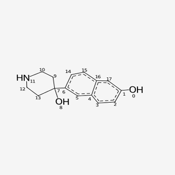 Oc1ccc2cc(C3(O)CCNCC3)ccc2c1